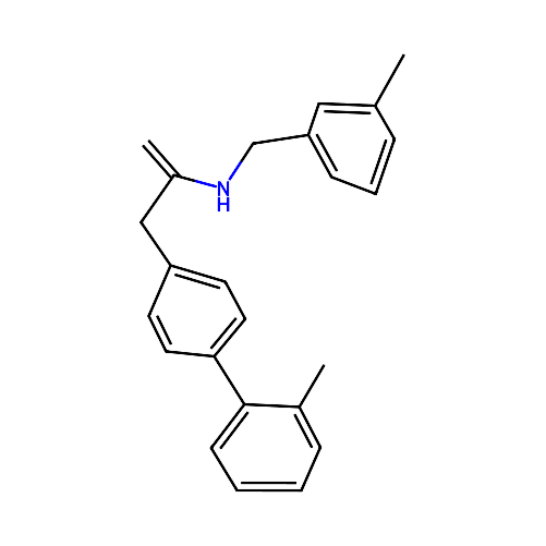 C=C(Cc1ccc(-c2ccccc2C)cc1)NCc1cccc(C)c1